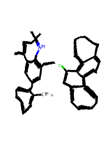 CC1=CC(C)(C)Nc2c(C)cc(-c3ccccc3C(F)(F)F)cc21.Clc1cc2ccccc2c2ccc3c(c12)CCCC3